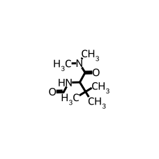 CN(C)C(=O)C(NC=O)C(C)(C)C